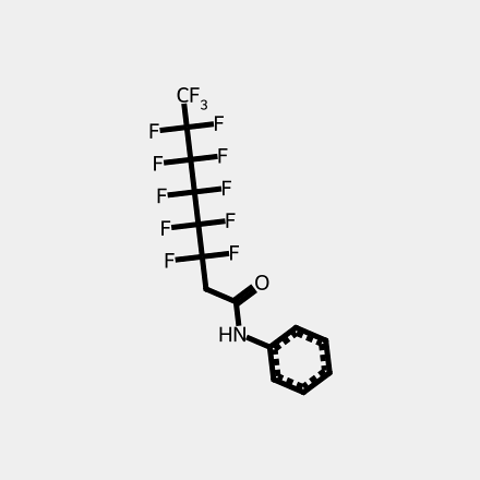 O=C(CC(F)(F)C(F)(F)C(F)(F)C(F)(F)C(F)(F)C(F)(F)F)Nc1ccccc1